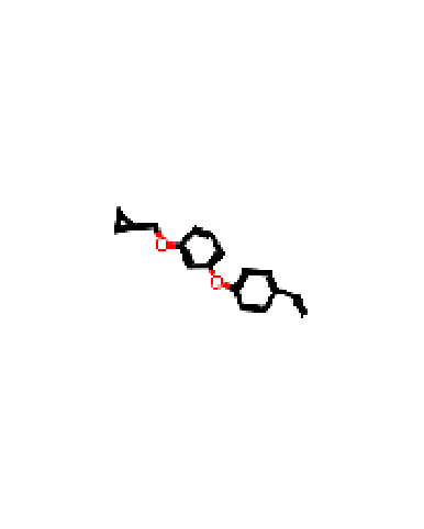 C=Cc1ccc(Oc2cccc(OCC3CC3)c2)cc1